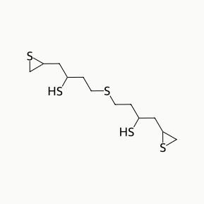 SC(CCSCCC(S)CC1CS1)CC1CS1